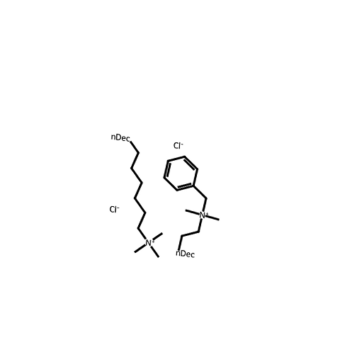 CCCCCCCCCCCCCCCC[N+](C)(C)C.CCCCCCCCCCCC[N+](C)(C)Cc1ccccc1.[Cl-].[Cl-]